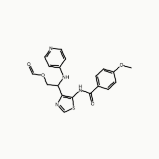 COc1ccc(C(=O)Nc2scnc2C(COC=O)Nc2ccncc2)cc1